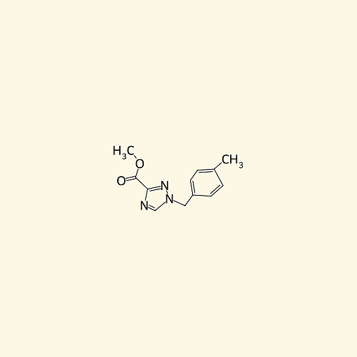 COC(=O)c1ncn(Cc2ccc(C)cc2)n1